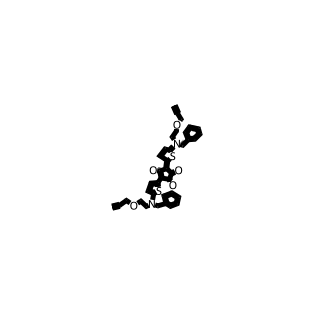 C#CCOCCN(Cc1ccccc1)c1ccc(C2=C([O-])/C(=C3C=C/C(=[N+](\CCOCC#C)Cc4ccccc4)S\3)C(=O)C2=O)s1